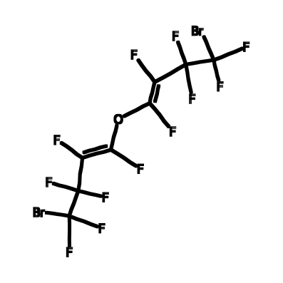 FC(OC(F)=C(F)C(F)(F)C(F)(F)Br)=C(F)C(F)(F)C(F)(F)Br